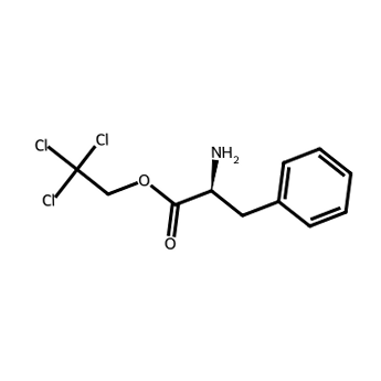 N[C@@H](Cc1ccccc1)C(=O)OCC(Cl)(Cl)Cl